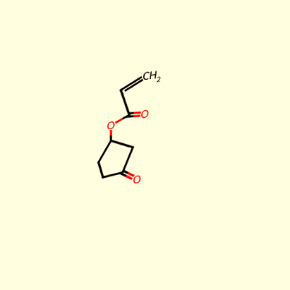 C=CC(=O)OC1CCC(=O)C1